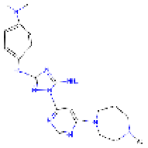 CC(=O)N1CCCN(c2cc(-n3nc(Nc4ccc(N(C)C)cc4)nc3N)ncn2)CC1